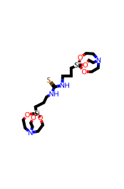 S=C(NCCC[Si]12OCCN(CCO1)CCO2)NCCC[Si]12OCCN(CCO1)CCO2